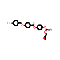 CCCC(OCC1CO1)Oc1ccc(OC(=O)C2CCC(OCC3CCC(O)CC3)CC2)cc1